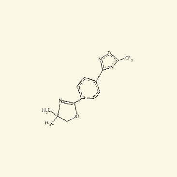 CC1(C)COC(c2ccc(-c3noc(C(F)(F)F)n3)cc2)=N1